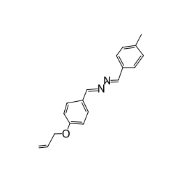 C=CCOc1ccc(C=NN=Cc2ccc(C)cc2)cc1